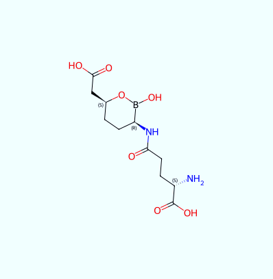 N[C@@H](CCC(=O)N[C@H]1CC[C@@H](CC(=O)O)OB1O)C(=O)O